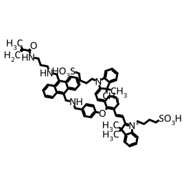 C=C(C)C(=O)NCCCNCc1c2ccccc2c(CNCc2ccc(OC3=C(/C=C/C4=[N+](CCCCS(=O)(=O)O)c5ccccc5C4(C)C)CCC/C3=C\C=C3\N(CCCCS(=O)(=O)O)c4ccccc4C3(C)C)cc2)c2ccccc12